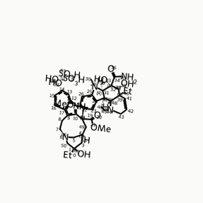 CC[C@]1(O)C[C@H]2C[N@](CCc3c([nH]c4ccccc34)[C@@](C(=O)OC)(c3cc4c(cc3OC)N(C)[C@H]3[C@@](O)(C(N)=O)[C@H](O)[C@]5(CC)C=CCN6CC[C@]43[C@@H]65)C2)C1.O=S(=O)(O)O.O=S(=O)(O)O